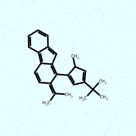 CC(C)=c1ccc2c(c1C1=CC(C(C)(C)C)=CC1C)[C]=c1ccccc1=2